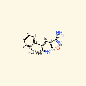 COc1ccccc1-c1cnc2onc(N)c2c1